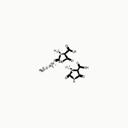 CN1C(=O)NC(=O)C1C(=O)O.CN1C(=O)NC(=O)C1C(=O)O.O.O.O.O.[Na]